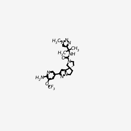 Cn1cc(C(C)(C)NC(=O)N2CC[C@@]3(CCn4nc(-c5cnc(N)c(OC(F)(F)F)c5)cc43)C2)nn1